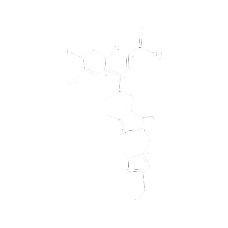 CCc1cc(Cn2nc(C)c(NC(=O)c3cc(C(N)=O)nc4cc(F)c(Cl)cc34)c2C)on1